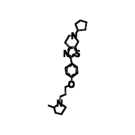 CC1CCCN1CCCOc1ccc(-c2nc3c(s2)CN(C2CCCC2)CC3)cc1